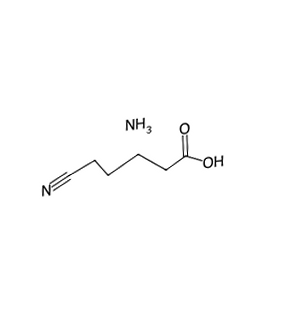 N.N#CCCCCC(=O)O